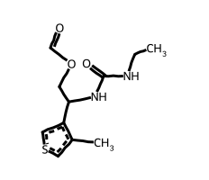 CCNC(=O)NC(COC=O)c1cscc1C